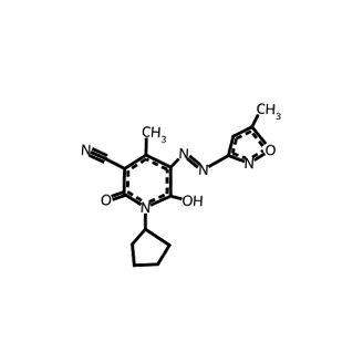 Cc1cc(N=Nc2c(C)c(C#N)c(=O)n(C3CCCC3)c2O)no1